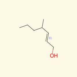 CCCC(C)/C=C/CO